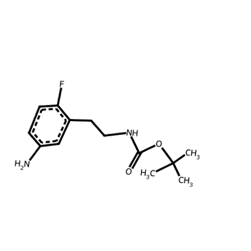 CC(C)(C)OC(=O)NCCc1cc(N)ccc1F